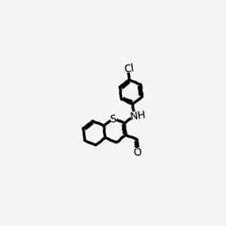 O=CC1=C(Nc2ccc(Cl)cc2)SC2C=CCCC2C1